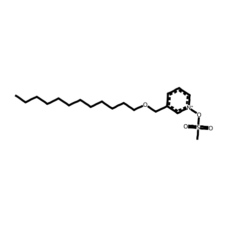 CCCCCCCCCCCCOCc1ccc[n+](OS(C)(=O)=O)c1